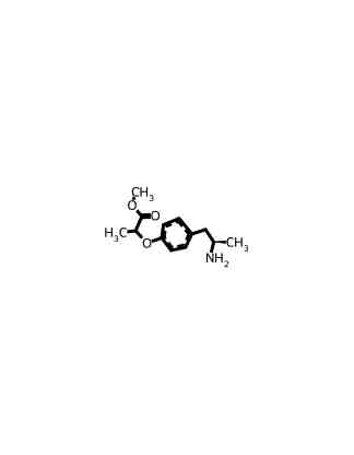 COC(=O)C(C)Oc1ccc(C[C@@H](C)N)cc1